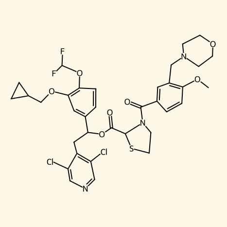 COc1ccc(C(=O)N2CCSC2C(=O)OC(Cc2c(Cl)cncc2Cl)c2ccc(OC(F)F)c(OCC3CC3)c2)cc1CN1CCOCC1